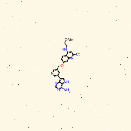 CCc1cc(NCCOC)c2ccc(OCc3cncc(-c4c[nH]c5c(N)ncnc45)c3)cc2n1